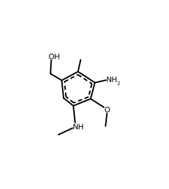 CNc1cc(CO)c(C)c(N)c1OC